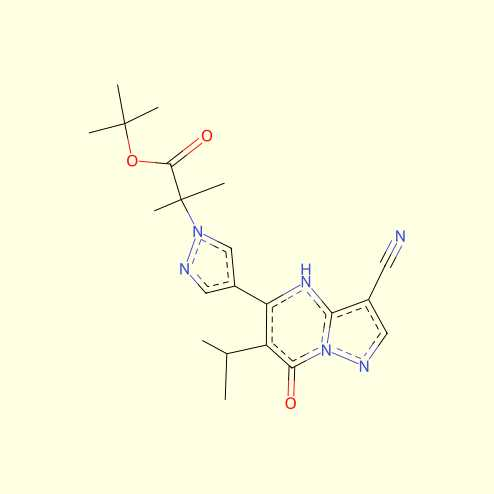 CC(C)c1c(-c2cnn(C(C)(C)C(=O)OC(C)(C)C)c2)[nH]c2c(C#N)cnn2c1=O